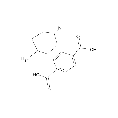 CC1CCC(N)CC1.O=C(O)c1ccc(C(=O)O)cc1